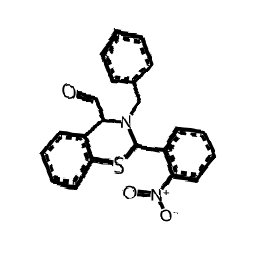 O=CC1c2ccccc2SC(c2ccccc2[N+](=O)[O-])N1Cc1ccccc1